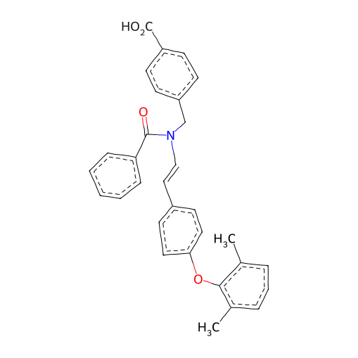 Cc1cccc(C)c1Oc1ccc(C=CN(Cc2ccc(C(=O)O)cc2)C(=O)c2ccccc2)cc1